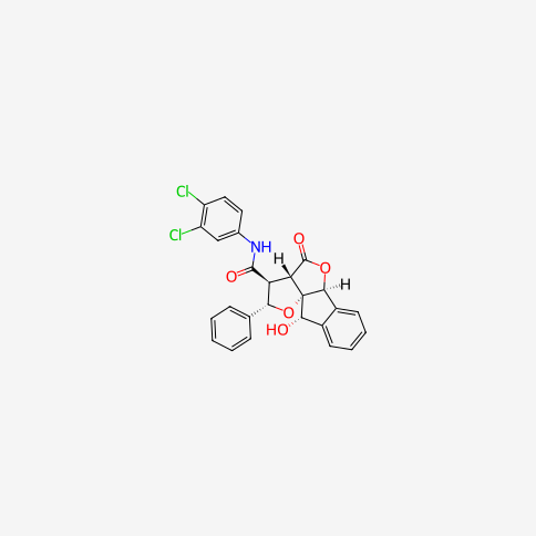 O=C(Nc1ccc(Cl)c(Cl)c1)[C@@H]1[C@@H](c2ccccc2)O[C@@]23[C@@H](O)c4ccccc4[C@@H]2OC(=O)[C@@H]13